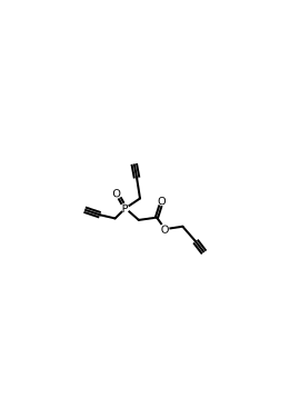 C#CCOC(=O)CP(=O)(CC#C)CC#C